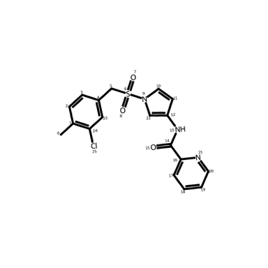 Cc1ccc(CS(=O)(=O)n2ccc(NC(=O)c3ccccn3)c2)cc1Cl